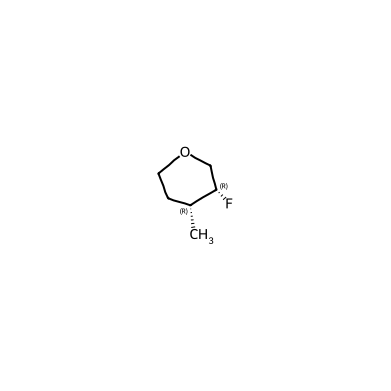 C[C@@H]1CCOC[C@@H]1F